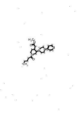 CCCCC(=O)N1CCC(CC(=O)OC)C(N2CCN(c3ccncc3)CC2)C1